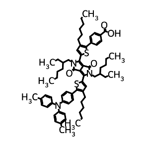 CCCCCCc1cc(C2=C3C(=O)N(CC(CC)CCCC)C(c4cc(CCCCCC)c(-c5ccc(N(c6ccc(C)cc6)c6ccc(C)cc6)cc5)s4)=C3C(=O)N2CC(CC)CCCC)sc1-c1ccc(C(=O)O)cc1